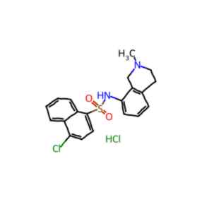 CN1CCc2cccc(NS(=O)(=O)c3ccc(Cl)c4ccccc34)c2C1.Cl